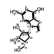 C=C1Sc2c(O)nc(N)nc2N1[C@@H]1C[C@H](CO)[C@@H](O)[C@H]1O